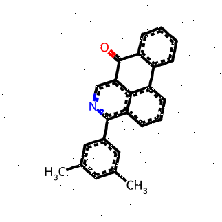 Cc1cc(C)cc(-c2ncc3c4c(cccc24)-c2ccccc2C3=O)c1